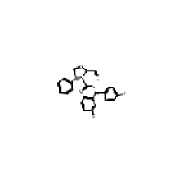 O=CC1OC[C@H](c2ccccc2)N1C(=O)C[C@H](c1ccc(F)cc1)c1cccc(F)c1